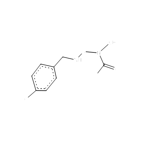 CN(SNCc1ccc(Br)cc1)C(=O)F